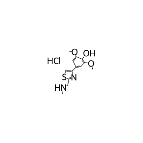 CNCc1nc(-c2cc(OC)c(O)c(OC)c2)cs1.Cl